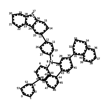 c1ccc(-c2ccc(N(c3ccc(-c4ccc5sc6ccccc6c5c4)cc3)c3cc(-c4cccc5ccccc45)ccc3-c3ccccc3)cc2)cc1